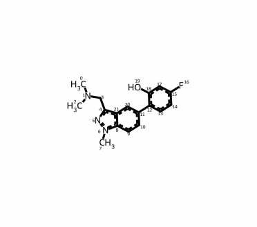 CN(C)Cc1nn(C)c2ccc(-c3ccc(F)cc3O)cc12